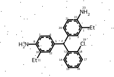 CCc1cc(C(c2ccc(N)c(CC)c2)c2ccccc2Cl)ccc1N